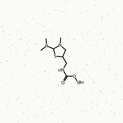 CN(C)C1SC(CNC(=O)OC(C)(C)C)CN1C